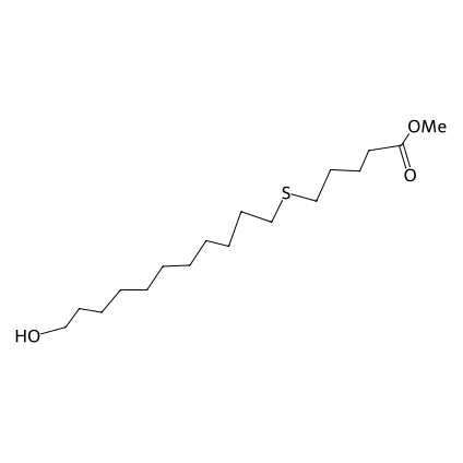 COC(=O)CCCCSCCCCCCCCCCCO